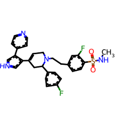 CNS(=O)(=O)c1ccc(CCN2CC=C(c3c[nH]cc3-c3ccncc3)CC2c2ccc(F)cc2)cc1F